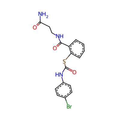 NC(=O)CCNC(=O)c1ccccc1SC(=O)Nc1ccc(Br)cc1